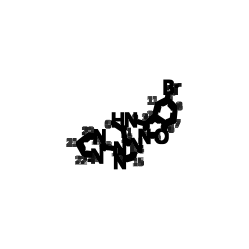 CC(Nc1noc2ccc(Br)cc12)c1ncnn1-c1ncccn1